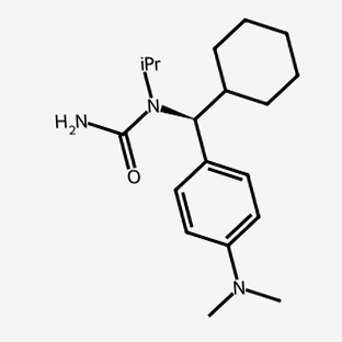 CC(C)N(C(N)=O)[C@H](c1ccc(N(C)C)cc1)C1CCCCC1